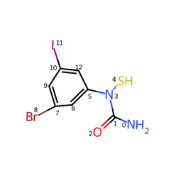 NC(=O)N(S)c1cc(Br)cc(I)c1